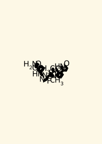 Cc1nc(N(C)Cc2ccccc2C2CCC(=O)NC2=O)sc1-c1nc(Nc2cccc(S(N)(=O)=O)c2)ncc1F